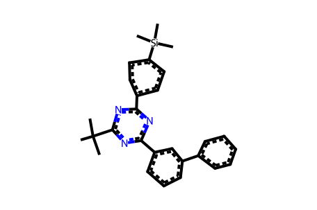 CC(C)(C)c1nc(-c2ccc([Si](C)(C)C)cc2)nc(-c2cccc(-c3ccccc3)c2)n1